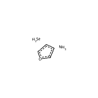 N.[SeH2].c1ccoc1